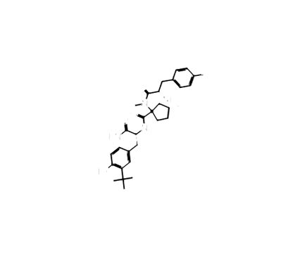 CN(C(=O)[C@@H](N)Cc1ccc(F)cc1)C1(C(=O)N[C@@H](Cc2ccc(O)c(C(C)(C)C)c2)C(N)=O)CCCC1